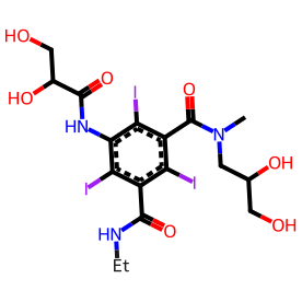 CCNC(=O)c1c(I)c(NC(=O)C(O)CO)c(I)c(C(=O)N(C)CC(O)CO)c1I